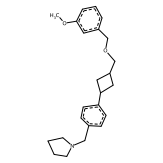 COc1cccc(COCC2CC(c3ccc(CN4CCCC4)cc3)C2)c1